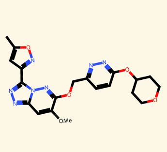 COc1cc2nnc(-c3cc(C)on3)n2nc1OCc1ccc(OC2CCOCC2)nn1